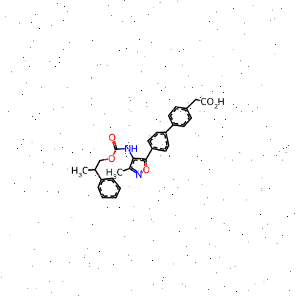 Cc1noc(-c2ccc(-c3ccc(CC(=O)O)cc3)cc2)c1NC(=O)OCC(C)c1ccccc1